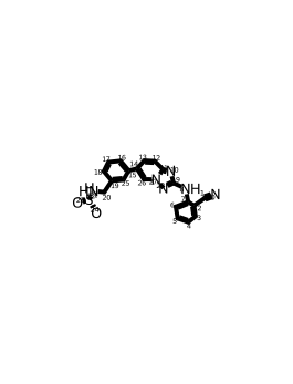 N#Cc1ccccc1Nc1nc2ccc(-c3cccc(CN[SH](=O)=O)c3)cn2n1